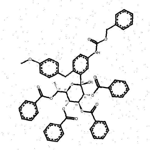 COc1ccc(Cc2ccc(NC(=O)OCc3ccccc3)cc2[C@@]2(O)O[C@H]([C@@H](C)OC(=O)c3ccccc3)[C@@H](OC(=O)c3ccccc3)[C@H](OC(=O)c3ccccc3)[C@H]2OC(=O)c2ccccc2)cc1